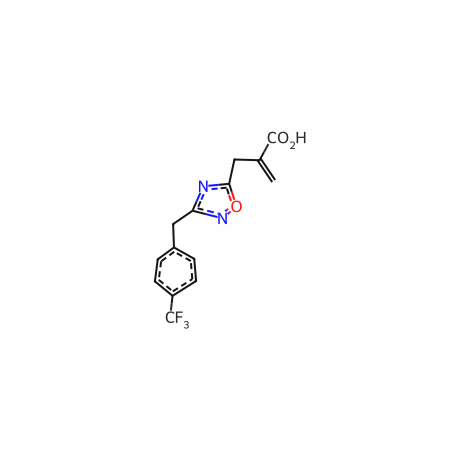 C=C(Cc1nc(Cc2ccc(C(F)(F)F)cc2)no1)C(=O)O